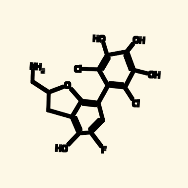 NCC1Cc2c(O)c(F)cc(-c3c(Cl)c(O)c(O)c(O)c3Cl)c2O1